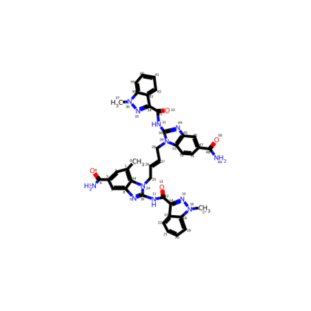 Cc1cc(C(N)=O)cc2nc(NC(=O)c3nn(C)c4ccccc34)n(C/C=C/Cn3c(NC(=O)c4nn(C)c5ccccc45)nc4cc(C(N)=O)ccc43)c12